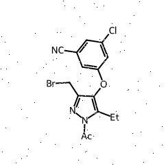 CCc1c(Oc2cc(Cl)cc(C#N)c2)c(CBr)nn1C(C)=O